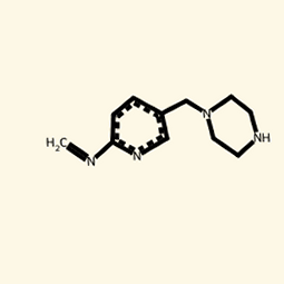 C=Nc1ccc(CN2CCNCC2)cn1